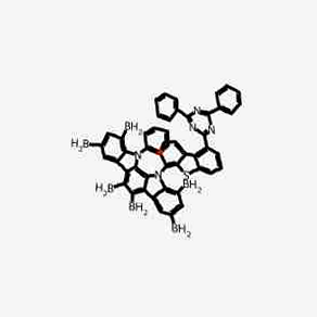 Bc1cc(B)c2c(c1)c1c(B)c(B)c3c4cc(B)cc(B)c4n(-c4cccc5c4sc4cccc(-c6nc(-c7ccccc7)nc(-c7ccccc7)n6)c45)c3c1n2-c1ccccc1